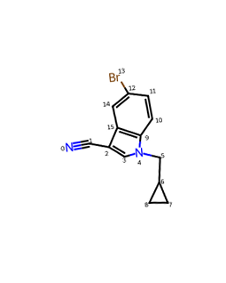 N#Cc1cn(CC2CC2)c2ccc(Br)cc12